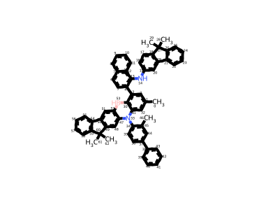 Cc1cc(-c2ccc3ccccc3c2Nc2ccc3c(c2)-c2ccccc2C3(C)C)c2c(c1)N(c1ccc(-c3ccccc3)cc1C)c1cc3c(cc1B2)-c1ccccc1C3(C)C